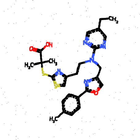 CCc1cnc(N(CCc2csc(SC(C)(C)C(=O)O)n2)Cc2coc(-c3ccc(C)cc3)n2)nc1